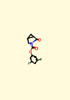 O=C(Oc1cc(F)cc(F)c1)N1CC2CC2C1=O